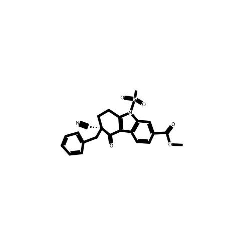 COC(=O)c1ccc2c3c(n(S(C)(=O)=O)c2c1)CC[C@](C#N)(Cc1ccccc1)C3=O